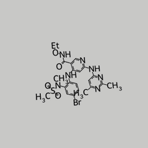 CCONC(=O)c1cnc(Nc2cc(C)nc(C)n2)cc1Nc1ccc(Br)cc1N(C)S(C)(=O)=O